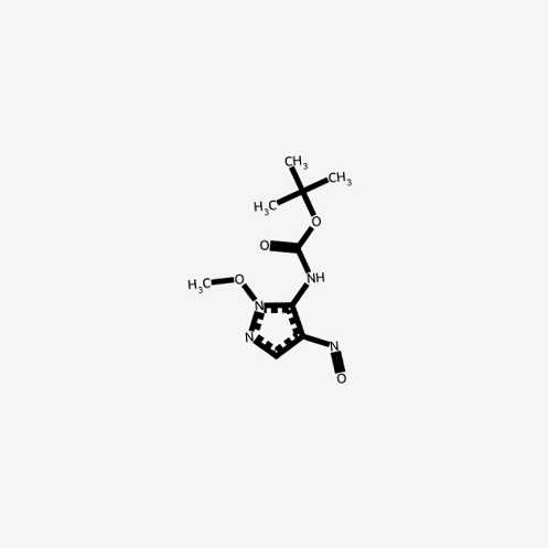 COn1ncc(N=O)c1NC(=O)OC(C)(C)C